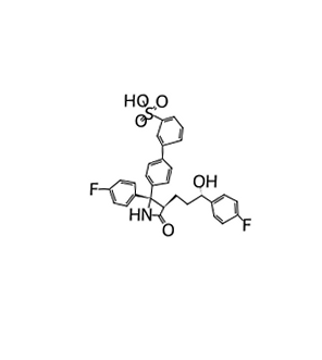 O=C1N[C@](c2ccc(F)cc2)(c2ccc(-c3cccc(S(=O)(=O)O)c3)cc2)[C@H]1CC[C@H](O)c1ccc(F)cc1